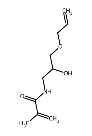 C=CCOCC(O)CNC(=O)C(=C)C